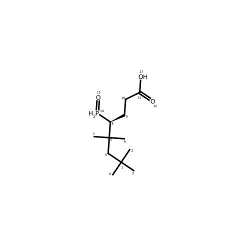 CC(C)(C)CC(C)(C)[C@H](CCC(=O)O)[PH2]=O